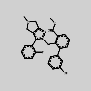 COC(=O)c1cccc(-c2cccc(O)c2)c1Cn1nc2c(c1-c1ccccc1F)CN(C)C2